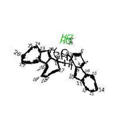 C[C]1([Hf][C]2(C)C=CC=C3C2=Cc2ccccc23)C=CC=C2C1=Cc1ccccc12.Cl.Cl